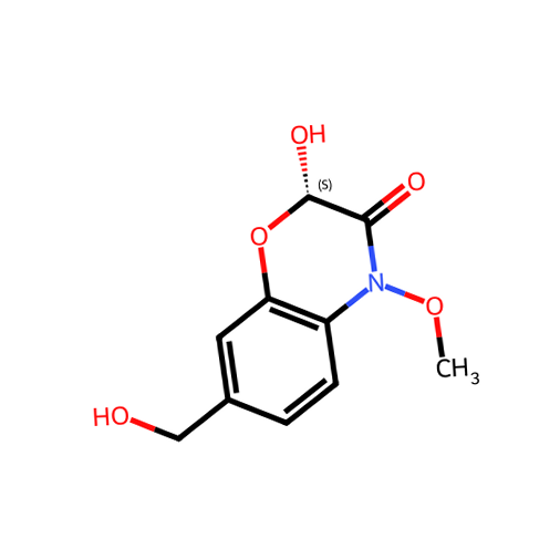 CON1C(=O)[C@@H](O)Oc2cc(CO)ccc21